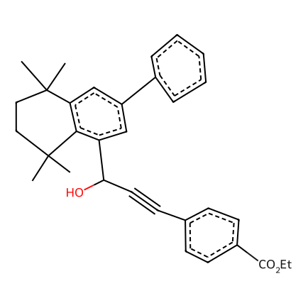 CCOC(=O)c1ccc(C#CC(O)c2cc(-c3ccccc3)cc3c2C(C)(C)CCC3(C)C)cc1